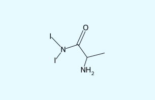 CC(N)C(=O)N(I)I